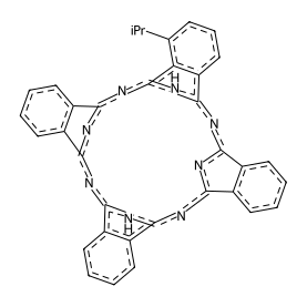 CC(C)c1cccc2c3nc4nc(nc5[nH]c(nc6nc(nc([nH]3)c12)-c1ccccc1-6)c1ccccc51)-c1ccccc1-4